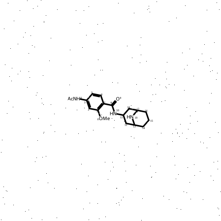 COc1cc(NC(C)=O)ccc1C(=O)NC1CC2CCCC(C1)N2